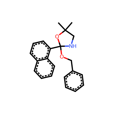 CC1(C)CNC(OCc2ccccc2)(c2cccc3ccccc23)O1